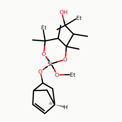 CCO[Si]1(OC2C[C@H]3C=CC2C3)OC(C)(CC)C(C)C(C)(C(C)C(C)(O)CC)O1